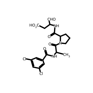 CC(NC(=O)c1cc(Cl)cc(Cl)c1)C(=O)N1CCCC1C(=O)NC(C=O)CC(=O)O